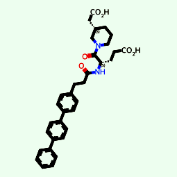 O=C(O)CC[C@H](NC(=O)CCc1ccc(-c2ccc(-c3ccccc3)cc2)cc1)C(=O)N1CCC[C@@H](CC(=O)O)C1